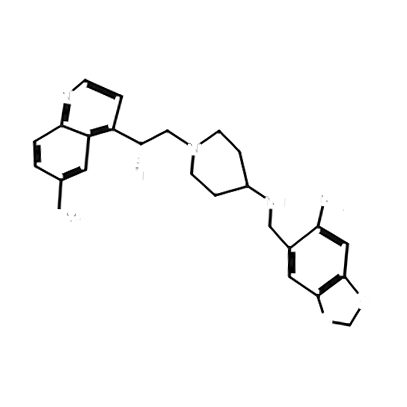 COc1ccc2nccc([C@@H](O)CN3CCC(NCc4cc5c(cc4[N+](=O)[O-])OCO5)CC3)c2c1